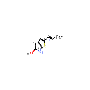 CCOC(=O)/C=C/c1cc2c(s1)NC(=O)C2